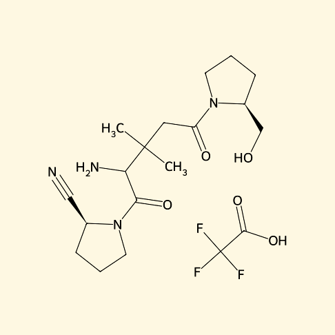 CC(C)(CC(=O)N1CCC[C@H]1CO)C(N)C(=O)N1CCC[C@H]1C#N.O=C(O)C(F)(F)F